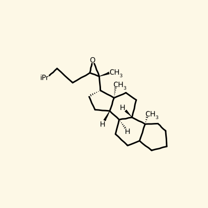 CC(C)CCC1O[C@]1(C)[C@H]1CC[C@H]2[C@@H]3CCC4CCCC[C@]4(C)[C@H]3CC[C@@]21C